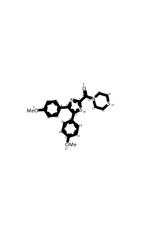 COc1ccc(-c2nc(C(=O)N3CCSCC3)sc2-c2ccc(OC)cc2)cc1